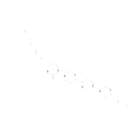 CCCCCCCCOc1ccc(-c2ccc(-c3ccc(-c4ccc(CCC)cc4)cc3)cc2)c(F)c1F